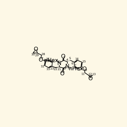 CCCCCCN1C(=O)[C@H](Cc2ccc(OCC3CO3)cc2)N(CCCCCC)C(=O)[C@H]1Cc1ccc(OCC2CO2)cc1